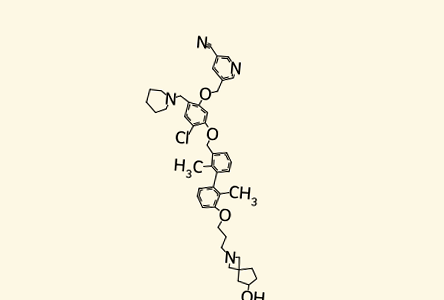 Cc1c(COc2cc(OCc3cncc(C#N)c3)c(CN3CCCCC3)cc2Cl)cccc1-c1cccc(OCCCN2CC3(CCC(O)C3)C2)c1C